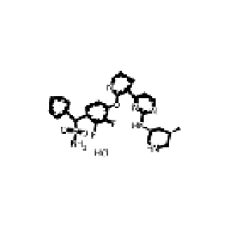 C[C@H]1CNC[C@@H](Nc2nccc(-c3cccnc3Oc3ccc(C(c4ccccc4)S(N)(=O)=O)c(F)c3F)n2)C1.Cl